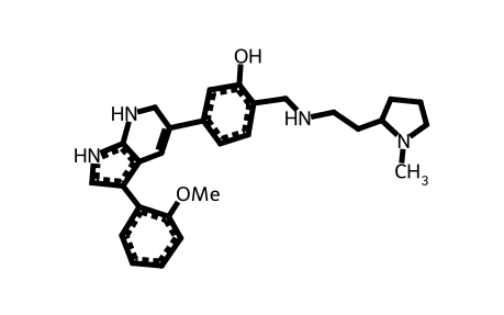 COc1ccccc1-c1c[nH]c2c1C=C(c1ccc(CNCCC3CCCN3C)c(O)c1)CN2